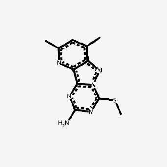 CSc1nc(N)nc2c3nc(C)cc(C)c3nn12